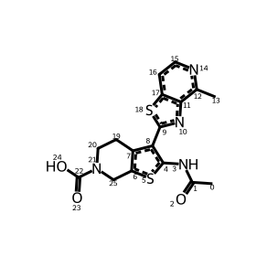 CC(=O)Nc1sc2c(c1-c1nc3c(C)nccc3s1)CCN(C(=O)O)C2